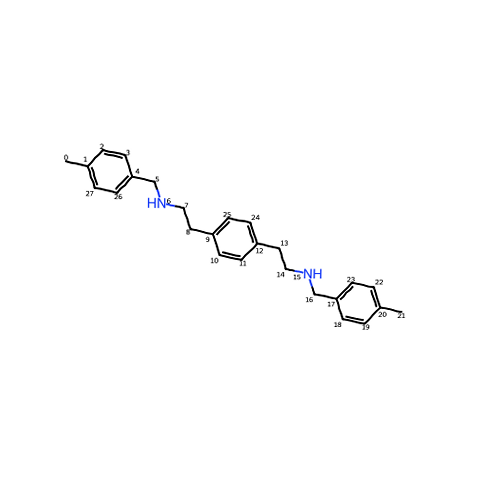 Cc1ccc(CNCCc2ccc(CCNCc3ccc(C)cc3)cc2)cc1